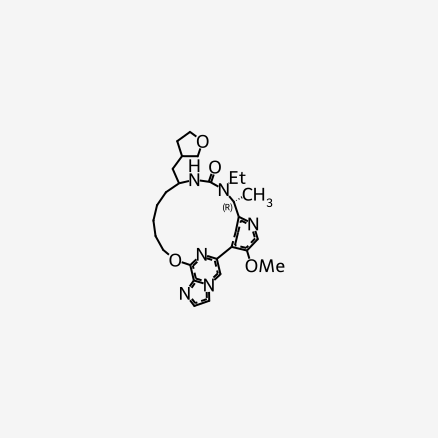 CCN1C(=O)NC(CC2CCOC2)CCCCCOc2nc(cn3ccnc23)-c2cc(ncc2OC)[C@H]1C